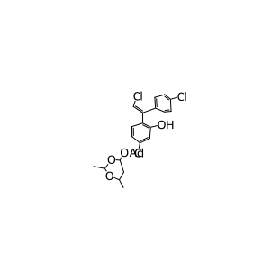 CC(=O)OC1CC(C)OC(C)O1.Oc1cc(Cl)ccc1C(=CCl)c1ccc(Cl)cc1